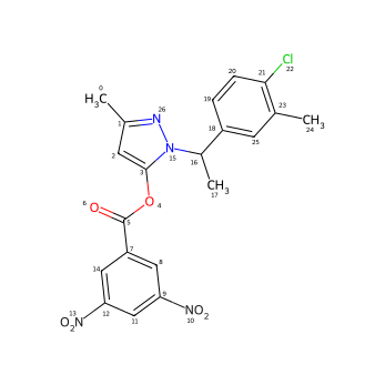 Cc1cc(OC(=O)c2cc([N+](=O)[O-])cc([N+](=O)[O-])c2)n(C(C)c2ccc(Cl)c(C)c2)n1